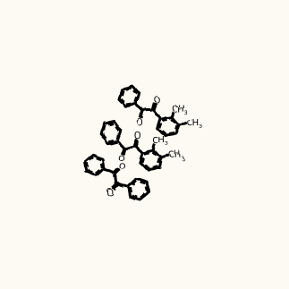 Cc1cccc(C(=O)C(=O)c2ccccc2)c1C.Cc1cccc(C(=O)C(=O)c2ccccc2)c1C.O=C(C(=O)c1ccccc1)c1ccccc1